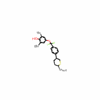 CCCCCC1CCC(c2ccc(C(F)(F)Oc3cc(C(C)(C)C)c(O)c(C(C)(C)C)c3)cc2)CS1